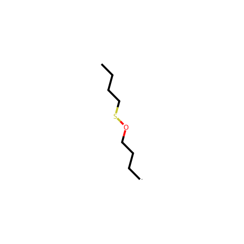 [CH2]CCCOSCCCC